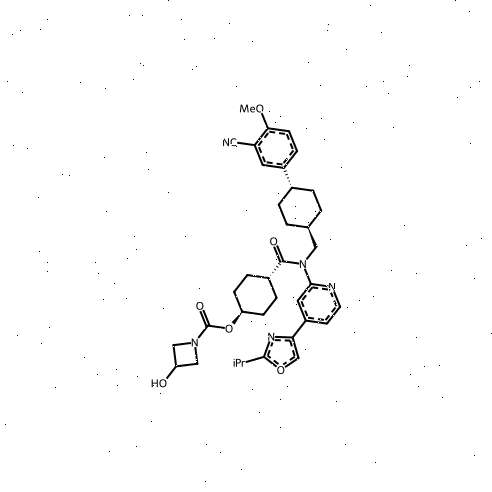 COc1ccc([C@H]2CC[C@H](CN(c3cc(-c4coc(C(C)C)n4)ccn3)C(=O)[C@H]3CC[C@H](OC(=O)N4CC(O)C4)CC3)CC2)cc1C#N